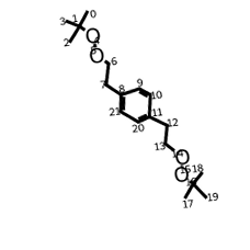 CC(C)(C)OOCCc1ccc(CCOOC(C)(C)C)cc1